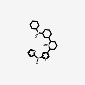 [O-][S+](c1cccs1)c1cc(C2CCCC(C3CCCC([S+]([O-])C4CCCCC4)C3)[S+]2[O-])cs1